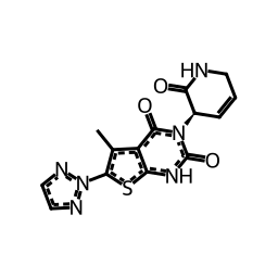 Cc1c(-n2nccn2)sc2[nH]c(=O)n([C@@H]3C=CCNC3=O)c(=O)c12